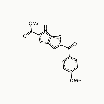 COC(=O)c1cc2cc(C(=O)c3ccc(OC)cc3)sc2[nH]1